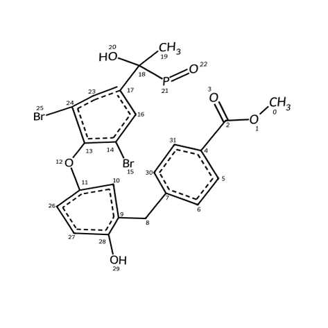 COC(=O)c1ccc(Cc2cc(Oc3c(Br)cc(C(C)(O)P=O)cc3Br)ccc2O)cc1